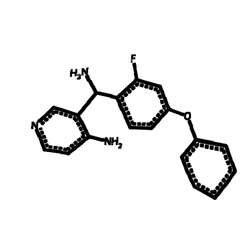 Nc1ccncc1C(N)c1ccc(Oc2ccccc2)cc1F